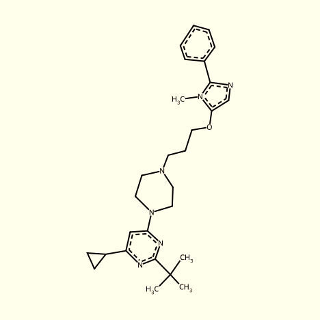 Cn1c(OCCCN2CCN(c3cc(C4CC4)nc(C(C)(C)C)n3)CC2)cnc1-c1ccccc1